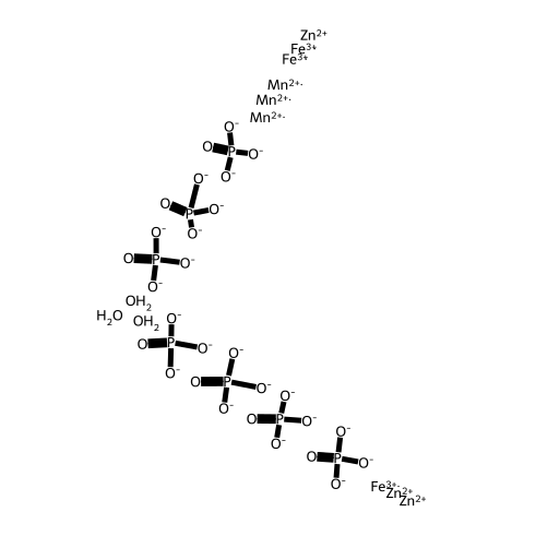 O.O.O.O=P([O-])([O-])[O-].O=P([O-])([O-])[O-].O=P([O-])([O-])[O-].O=P([O-])([O-])[O-].O=P([O-])([O-])[O-].O=P([O-])([O-])[O-].O=P([O-])([O-])[O-].[Fe+3].[Fe+3].[Fe+3].[Mn+2].[Mn+2].[Mn+2].[Zn+2].[Zn+2].[Zn+2]